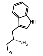 CC(C)C[C@@H](N)Cc1c[nH]c2ccccc12